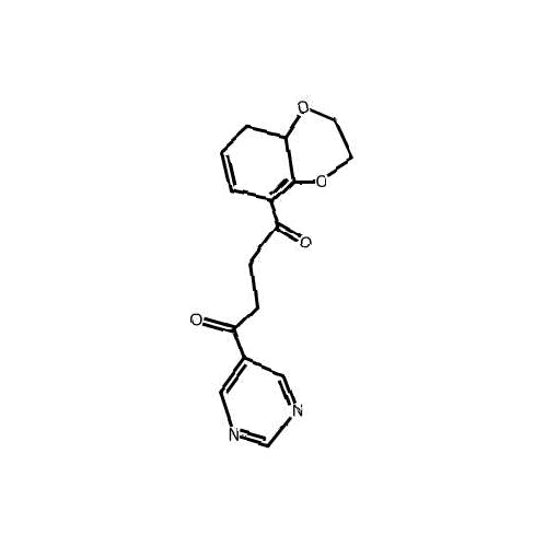 O=C(CCC(=O)c1cncnc1)C1=C2OCCOC2CC=C1